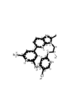 Cc1nc2ccc(-c3cc(N)nc(N)c3)nc2n1C[C@H](C)Oc1ccc(Cl)cn1